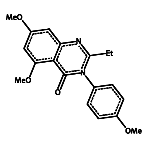 CCc1nc2cc(OC)cc(OC)c2c(=O)n1-c1ccc(OC)cc1